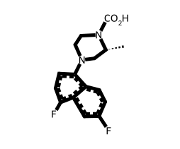 C[C@@H]1CN(c2ccc(F)c3cc(F)ccc23)CCN1C(=O)O